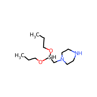 CCCO[SiH](CN1CCNCC1)OCCC